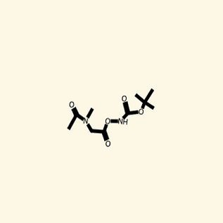 CC(=O)N(C)CC(=O)ONC(=O)OC(C)(C)C